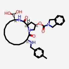 Cc1ccc(CN[C@H]2CCCCCCCCC[C@@H](B(O)O)NC(=O)[C@@H]3C[C@@H](OC(=O)N4Cc5ccccc5C4)CN3C2=O)cc1